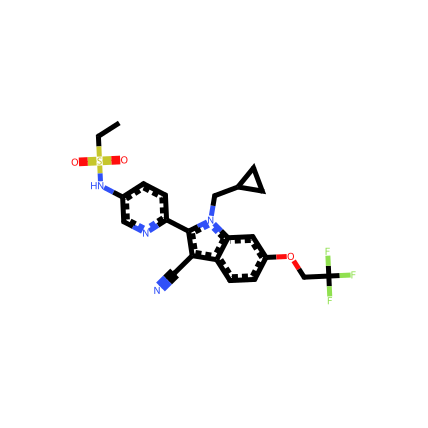 CCS(=O)(=O)Nc1ccc(-c2c(C#N)c3ccc(OCC(F)(F)F)cc3n2CC2CC2)nc1